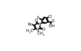 Cc1c(Br)c(=O)n(-c2cc(C(=O)O)c(Cl)cc2F)c(=O)n1C